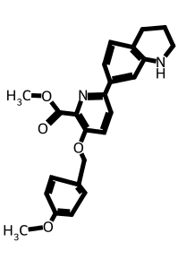 COC(=O)c1nc(-c2ccc3c(c2)NCCC3)ccc1OCc1ccc(OC)cc1